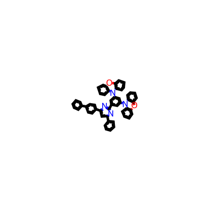 c1ccc(-c2ccc(-c3cc(-c4ccccc4)nc(-c4cc(N5c6ccccc6Oc6ccccc65)cc(N5c6ccccc6Oc6ccccc65)c4)n3)cc2)cc1